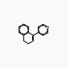 C1=C(c2ccncc2)c2ccccc2CC1